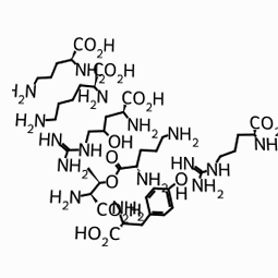 C[C@@H](OC(=O)[C@@H](N)CCCN)[C@H](N)C(=O)O.N=C(N)NCC(O)C[C@H](N)C(=O)O.N=C(N)NCCC[C@H](N)C(=O)O.NCCCC[C@H](N)C(=O)O.NCCC[C@H](N)C(=O)O.N[C@@H](Cc1ccc(O)cc1)C(=O)O